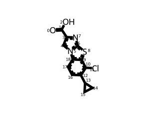 O=C(O)c1cn2c(n1)sc1c(Cl)c(C3CC3)ccc12